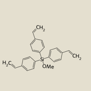 C=Cc1ccc([Si](OC)(c2ccc(C=C)cc2)c2ccc(C=C)cc2)cc1